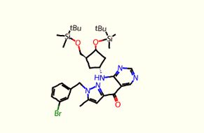 Cc1cc(C(=O)c2cncnc2N[C@@H]2C[C@@H](CO[Si](C)(C)C(C)(C)C)[C@@H](O[Si](C)(C)C(C)(C)C)C2)nn1Cc1cccc(Br)c1